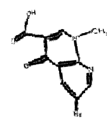 Cn1cc(C(=O)O)c(=O)c2cc(Br)cnc21